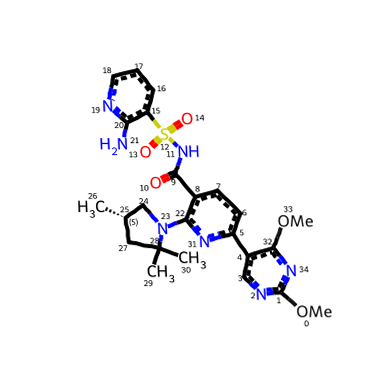 COc1ncc(-c2ccc(C(=O)NS(=O)(=O)c3cccnc3N)c(N3C[C@@H](C)CC3(C)C)n2)c(OC)n1